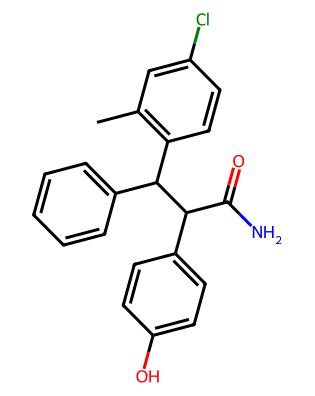 Cc1cc(Cl)ccc1C(c1ccccc1)C(C(N)=O)c1ccc(O)cc1